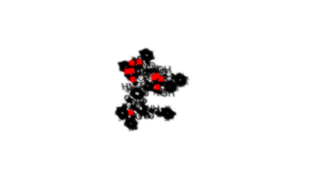 CC(C)(C[C@H]1[C@H](O[C@@H]2[C@H]3OC(=O)N[C@@H]3C[C@H](NC(=O)OCc3ccccc3)[C@H]2O[C@H]2O[C@@H]3COC(c4ccccc4)O[C@H]3C(=O)[C@H]2NC(=O)OCc2ccccc2)O[C@H](CO[Si](c2ccccc2)(c2ccccc2)C(C)(C)C)[C@H]1O[C@H]1O[C@H]2CN(C(=O)OCc3ccccc3)C(c3ccccc3)O[C@H]2[C@H](O)[C@H]1NC(=O)OCc1ccccc1)[Si](O)(c1ccccc1)c1ccccc1